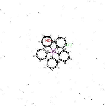 Cl.Oc1ccccc1P(c1ccccc1)(c1ccccc1)(c1ccccc1)c1ccccc1